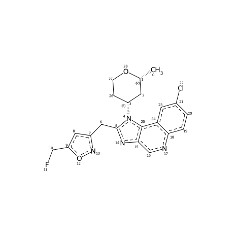 C[C@@H]1C[C@H](n2c(Cc3cc(CF)on3)nc3cnc4ccc(Cl)cc4c32)CCO1